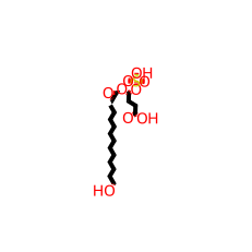 C1CO1.CCCCCCCCCCCCO.O=C(O)CCC(=O)OS(=O)(=O)O